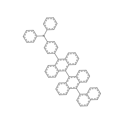 c1ccc(N(c2ccccc2)c2ccc(-c3c4ccccc4c(-c4c5ccccc5c(-c5cccc6ccccc56)c5ccccc45)c4ccccc34)cc2)cc1